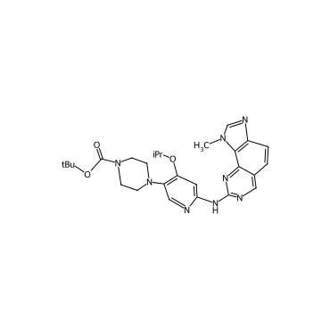 CC(C)Oc1cc(Nc2ncc3ccc4ncn(C)c4c3n2)ncc1N1CCN(C(=O)OC(C)(C)C)CC1